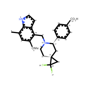 COc1cc(C)c2[nH]ccc2c1CN1CC[C@]2(C[C@H]1c1ccc(C(=O)O)cc1)CC2(F)F